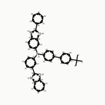 CC(C)(C)c1ccc(-c2ccc(N(c3cccc(-c4nc5ccccc5o4)c3)c3ccc4nc(-c5ccccc5)oc4c3)cc2)cc1